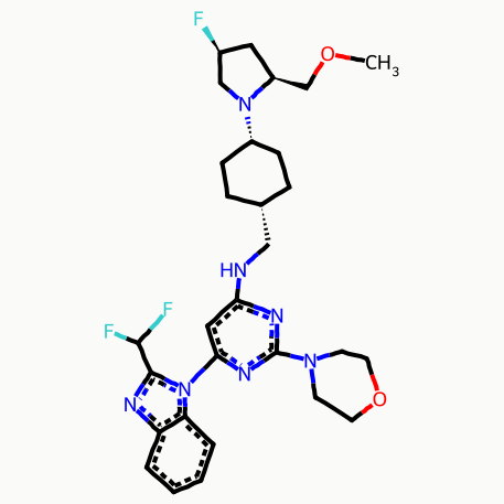 COC[C@@H]1C[C@H](F)CN1[C@H]1CC[C@@H](CNc2cc(-n3c(C(F)F)nc4ccccc43)nc(N3CCOCC3)n2)CC1